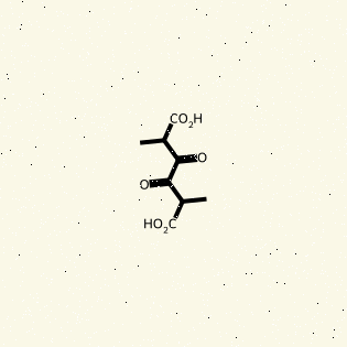 CC(C(=O)O)C(=O)C(=O)C(C)C(=O)O